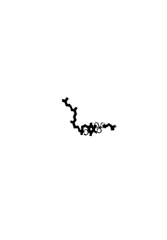 C=C(C)CCOC(=O)Oc1c(C)c(C)c2c(c1C)CCC(C)(CCCC(C)CCCC(C)CCCC(C)C)O2